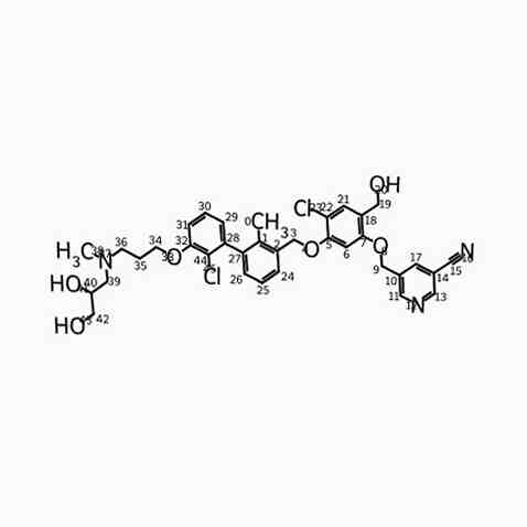 Cc1c(COc2cc(OCc3cncc(C#N)c3)c(CO)cc2Cl)cccc1-c1cccc(OCCCN(C)CC(O)CO)c1Cl